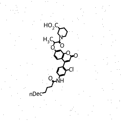 CCCCCCCCCCCCCC(=O)Nc1ccc(-c2cc(=O)oc3cc(OC(C)C(=O)N4CCCC(C(=O)O)C4)ccc23)c(Cl)c1